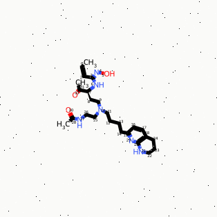 C/C=C\C(=N\O)N[C@@H](CCN(CCCCc1ccc2c(n1)NCCC2)CCNC(C)=O)C(C)=O